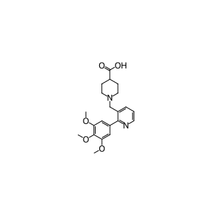 COc1cc(-c2ncccc2CN2CCC(C(=O)O)CC2)cc(OC)c1OC